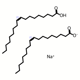 CCCCCCCC/C=C\CCCCCCCC(=O)O.CCCCCCCC/C=C\CCCCCCCC(=O)[O-].[Na+]